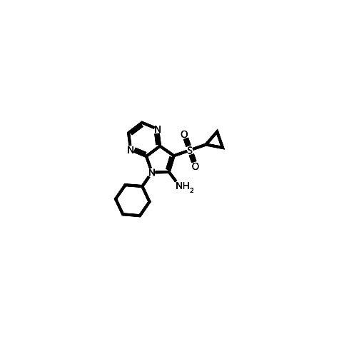 Nc1c(S(=O)(=O)C2CC2)c2nccnc2n1C1CCCCC1